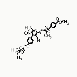 [C-]#[N+]c1c(N)nc(SCc2nc(-c3ccc(C(=O)OC)cc3)oc2C)c(C#N)c1-c1ccc(OC[C@@H]2COC(C)(C)O2)cc1